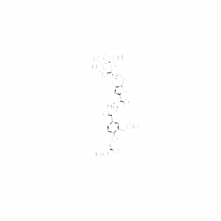 CC(C)(C)OC(=O)N1CCc2sc(C(=O)NCC(=O)c3ccc(OCC(=O)O)c(CO)c3)cc2C1